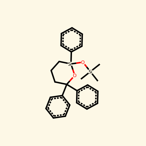 C[Si](C)(C)O[Si]1(c2ccccc2)CCCC(c2ccccc2)(c2ccccc2)O1